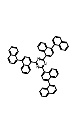 c1ccc2c(-c3ccc(-c4nc(-c5ccc(-c6cccc7ccccc67)c6ccccc56)nc(-c5ccc(-c6cccc7ccccc67)c6ccccc56)n4)c4ccccc34)cccc2c1